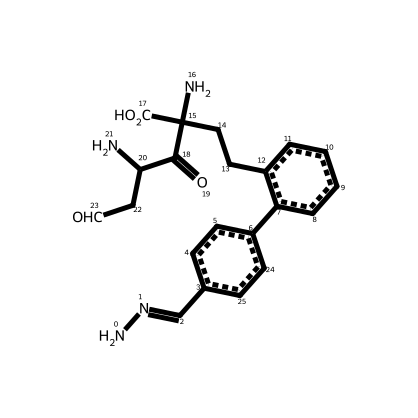 NN=Cc1ccc(-c2ccccc2CCC(N)(C(=O)O)C(=O)C(N)CC=O)cc1